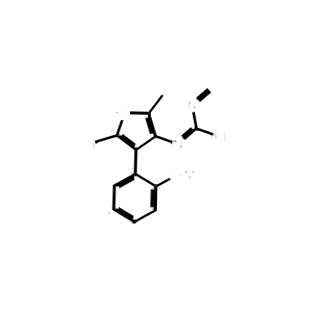 C=N/C(Cl)=N\c1c(C)sc(C)c1-c1ccccc1OC